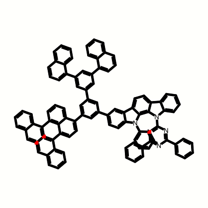 c1ccc(-c2nc(-c3ccccc3)nc(-n3c4ccccc4c4ccc5c6cc(-c7cc(-c8cc(-c9cccc%10ccccc9%10)cc(-c9cccc%10ccccc9%10)c8)cc(-c8ccc(-c9cccc%10ccccc9%10)c9c(-c%10cccc%11ccccc%10%11)cccc89)c7)ccc6n(-c6ccccc6)c5c43)n2)cc1